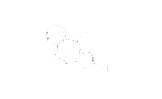 CC1=CN2C(=O)c3ccccc3N=CC2C1